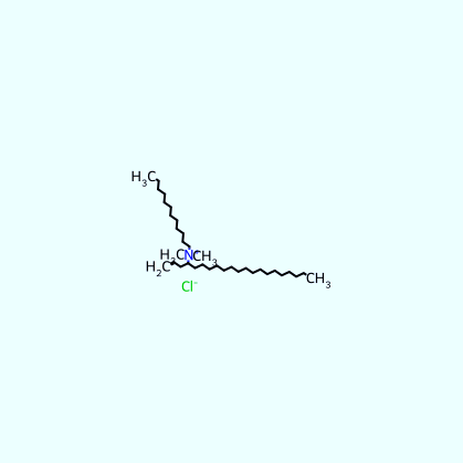 C=CCC(CCCCCCCCCCCCCCCCC)[N+](C)(C)CCCCCCCCCCCC.[Cl-]